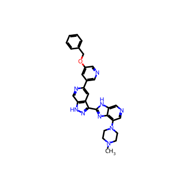 CN1CCN(c2cncc3[nH]c(-c4n[nH]c5cnc(-c6cncc(OCc7ccccc7)c6)cc45)nc23)CC1